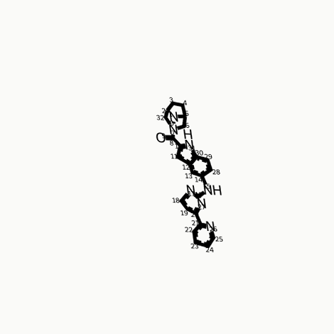 CN1C2CCC1CN(C(=O)c1cc3cc(Nc4nccc(-c5ccccn5)n4)ccc3[nH]1)C2